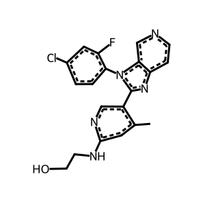 Cc1cc(NCCO)ncc1-c1nc2ccncc2n1-c1ccc(Cl)cc1F